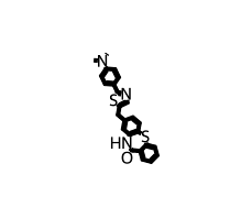 CN(C)c1ccc(-c2ncc(Cc3ccc4c(c3)NC(=O)c3ccccc3S4)s2)cc1